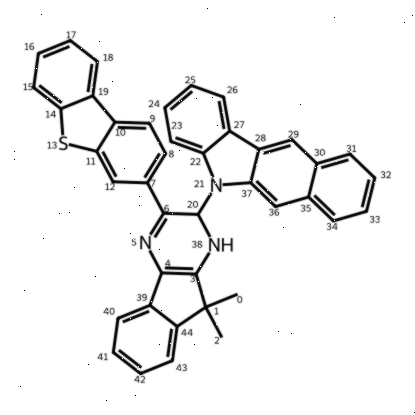 CC1(C)C2=C(N=C(c3ccc4c(c3)sc3ccccc34)C(n3c4ccccc4c4cc5ccccc5cc43)N2)c2ccccc21